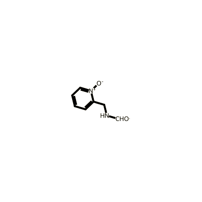 O=[C]NCc1cccc[n+]1[O-]